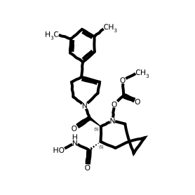 COC(=O)ON1CC2(CC2)C[C@H](C(=O)NO)[C@H]1C(=O)N1CC=C(c2cc(C)cc(C)c2)CC1